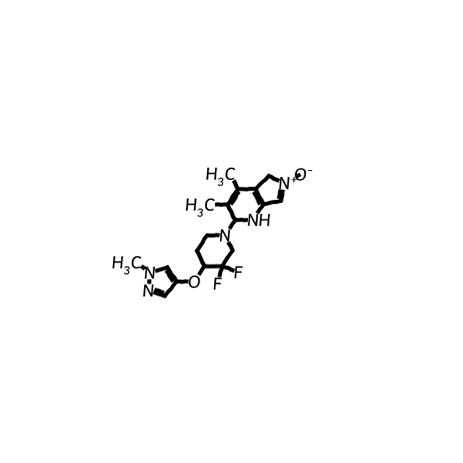 CC1=C(C)C(N2CCC(Oc3cnn(C)c3)C(F)(F)C2)NC2=C1C[N+]([O-])=C2